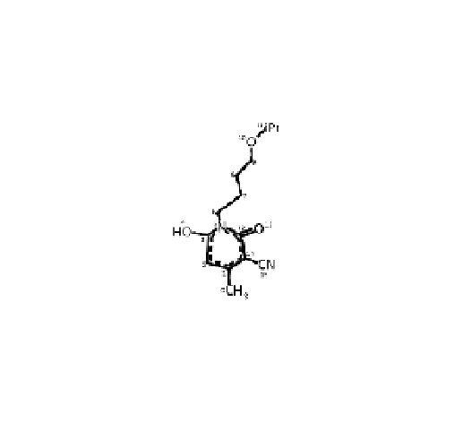 Cc1cc(O)n(CCCCOC(C)C)c(=O)c1C#N